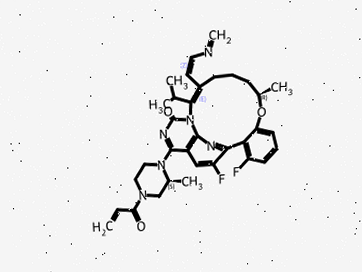 C=CC(=O)N1CCN(c2nc(=O)n3c4nc(c(F)cc24)-c2c(F)cccc2O[C@H](C)CCCC(/C=C\N=C)=C\3C(C)C)[C@@H](C)C1